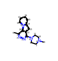 Cc1nnc(N2CCN(C)CC2)c2cc3ccccn3c12